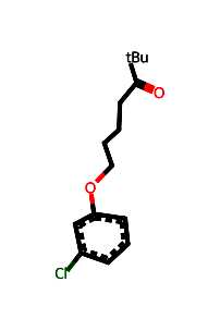 CC(C)(C)C(=O)CCCCOc1cccc(Cl)c1